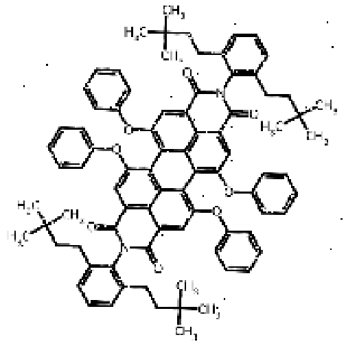 CC(C)(C)CCc1cccc(CCC(C)(C)C)c1N1C(=O)c2cc(Oc3ccccc3)c3c4c(Oc5ccccc5)cc5c6c(cc(Oc7ccccc7)c(c7c(Oc8ccccc8)cc(c2c37)C1=O)c64)C(=O)N(c1c(CCC(C)(C)C)cccc1CCC(C)(C)C)C5=O